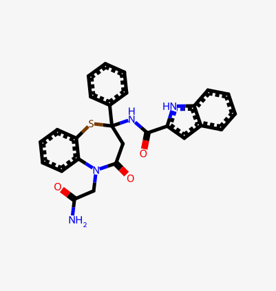 NC(=O)CN1C(=O)CC(NC(=O)c2cc3ccccc3[nH]2)(c2ccccc2)Sc2ccccc21